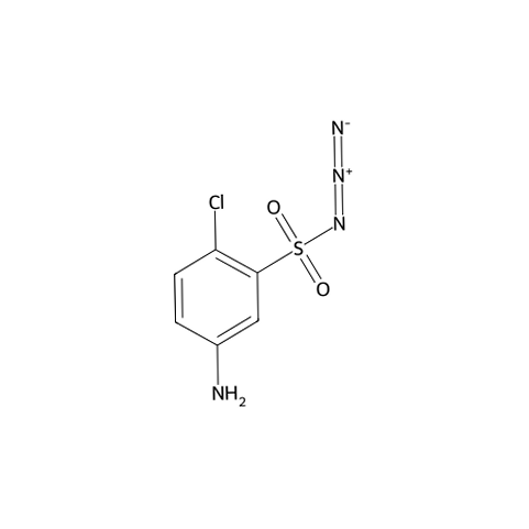 [N-]=[N+]=NS(=O)(=O)c1cc(N)ccc1Cl